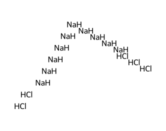 Cl.Cl.Cl.Cl.Cl.[NaH].[NaH].[NaH].[NaH].[NaH].[NaH].[NaH].[NaH].[NaH].[NaH]